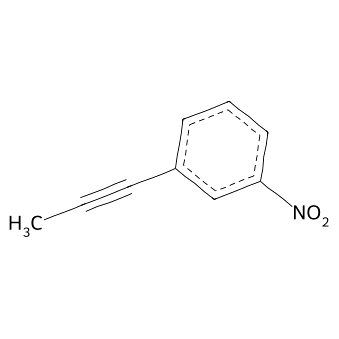 CC#Cc1cccc([N+](=O)[O-])c1